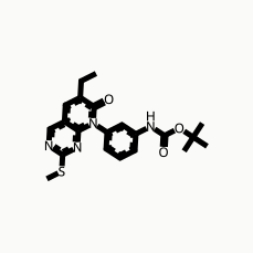 CCc1cc2cnc(SC)nc2n(-c2cccc(NC(=O)OC(C)(C)C)c2)c1=O